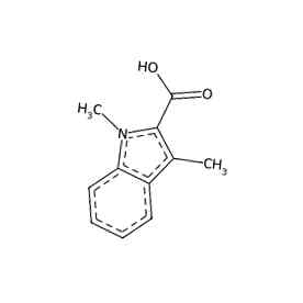 Cc1c(C(=O)O)n(C)c2ccccc12